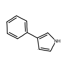 [c]1c[nH]cc1-c1ccccc1